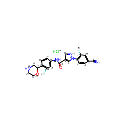 Cl.N#Cc1ccc(-n2cc(C(=O)Nc3ccc(C4CNCCO4)c(F)c3)cn2)c(F)c1